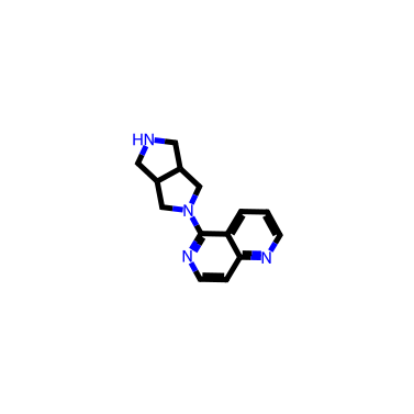 c1cnc2ccnc(N3CC4CNCC4C3)c2c1